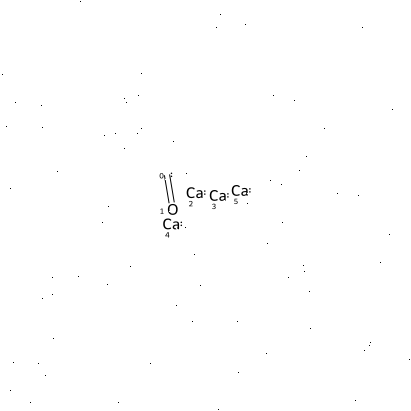 [C]=O.[Ca].[Ca].[Ca].[Ca]